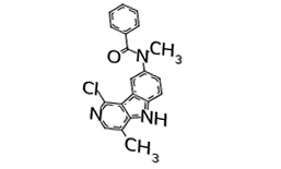 Cc1cnc(Cl)c2c1[nH]c1ccc(N(C)C(=O)c3ccccc3)cc12